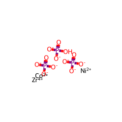 O=P([O-])([O-])O.O=P([O-])([O-])[O-].O=P([O-])([O-])[O-].[Co+2].[Ni+2].[Zr+4]